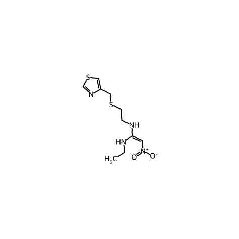 CCNC(=C[N+](=O)[O-])NCCSCc1cs[c]n1